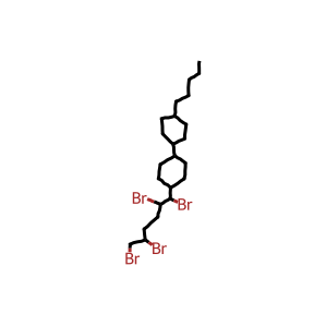 CCCCCC1CCC(C2CCC(C(Br)C(Br)CCC(Br)CBr)CC2)CC1